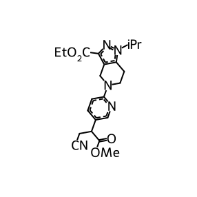 CCOC(=O)c1nn(C(C)C)c2c1CN(c1ccc(C(CC#N)C(=O)OC)cn1)CC2